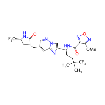 COc1nonc1C(=O)N[C@@H](CCC(C)(C)C(F)(F)F)c1cn2ncc(C[C@@H]3C[C@@H](C(F)(F)F)NC3=O)cc2n1